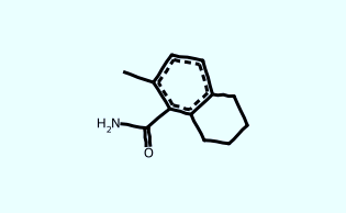 Cc1ccc2c(c1C(N)=O)CCCC2